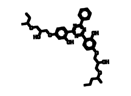 CCCC(C)OCC(O)COc1ccc(-c2nc(-c3ccccc3)nc(-c3ccc(OCC(O)COC(C)CC)cc3O)n2)c(O)c1